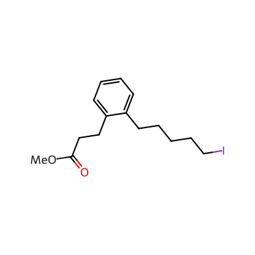 COC(=O)CCc1ccccc1CCCCCI